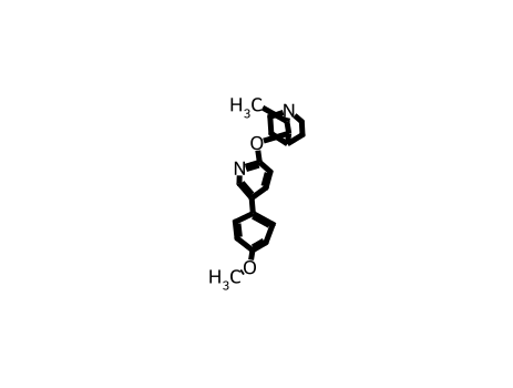 COc1ccc(-c2ccc(OC3C4CCN(CC4)C3C)nc2)cc1